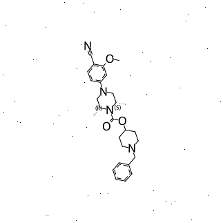 COc1cc(N2C[C@@H](C)N(C(=O)OC3CCN(Cc4ccccc4)CC3)[C@@H](C)C2)ccc1C#N